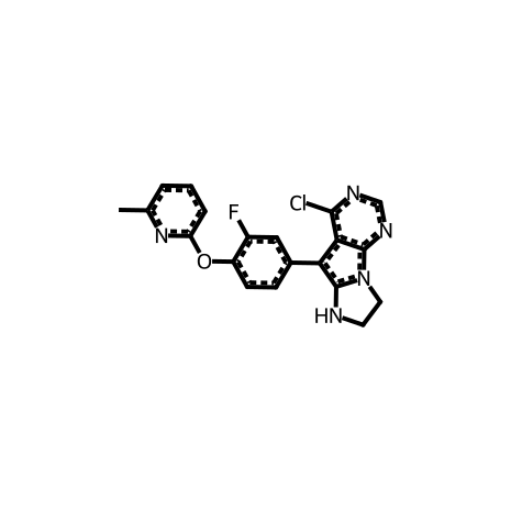 Cc1cccc(Oc2ccc(-c3c4n(c5ncnc(Cl)c35)CCN4)cc2F)n1